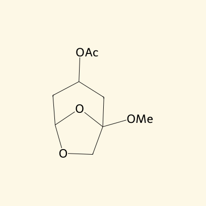 COC12COC(CC(OC(C)=O)C1)O2